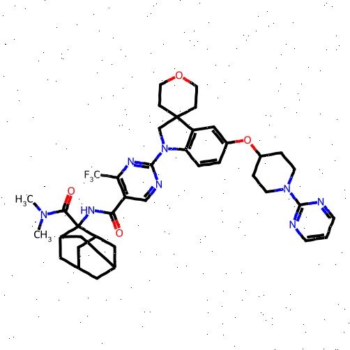 CN(C)C(=O)C1(NC(=O)c2cnc(N3CC4(CCOCC4)c4cc(OC5CCN(c6ncccn6)CC5)ccc43)nc2C(F)(F)F)C2CC3CC(C2)CC1C3